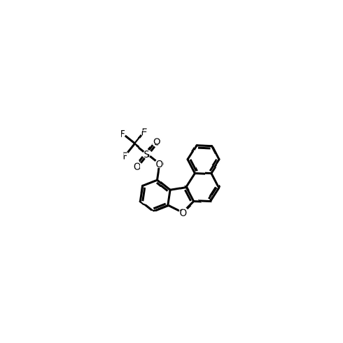 O=S(=O)(Oc1cccc2oc3ccc4ccccc4c3c12)C(F)(F)F